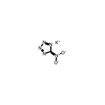 [K+].[O-][N+]([O-])=C1N=NN=N1